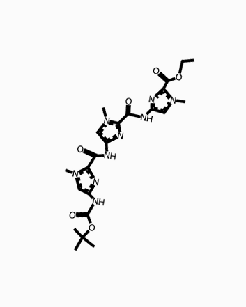 CCOC(=O)c1nc(NC(=O)c2nc(NC(=O)c3nc(NC(=O)OC(C)(C)C)cn3C)cn2C)cn1C